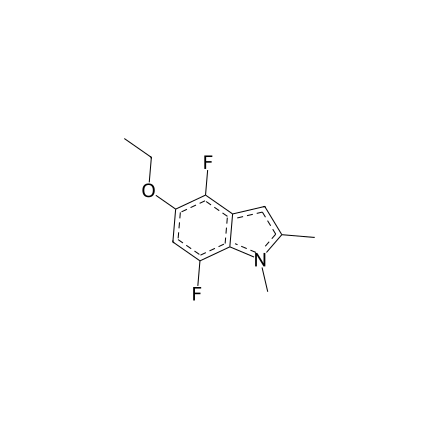 CCOc1cc(F)c2c(cc(C)n2C)c1F